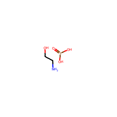 NCCO.O=S(O)O